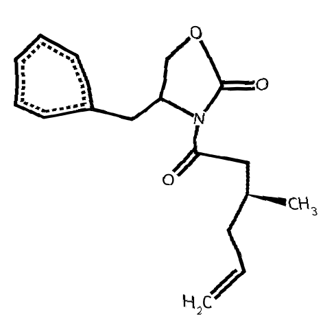 C=CC[C@H](C)CC(=O)N1C(=O)OCC1Cc1ccccc1